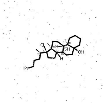 CC(C)CCC[C@@H](C)[C@@]1(Cl)CC[C@H]2[C@@H]3CCC4(O)CCCC[C@]4(C)[C@H]3CC[C@@]21C